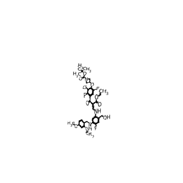 CCOC(=O)C(=CNc1cc(NCc2ccc(OC)cc2OC)c(F)cc1CO)C(=O)c1cc(F)c(OC2CN(C(=O)OC(C)(C)C)C2)c(Cl)c1F